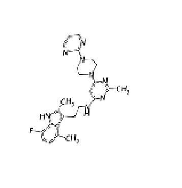 Cc1nc(NCCc2c(C)[nH]c3c(F)ccc(C)c23)cc(N2CCN(c3ncccn3)CC2)n1